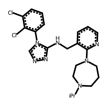 CC(C)N1CCCN(c2ncccc2CNc2nncn2-c2cccc(Cl)c2Cl)CC1